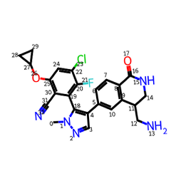 Cn1ncc(-c2ccc3c(c2)C(CN)CNC3=O)c1-c1c(F)c(Cl)cc(OC2CC2)c1C#N